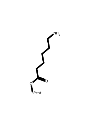 [CH2]CCCCOC(=O)CCCCCN